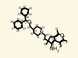 CC1=C(C)C2=C(N)C(C)(CCN3CCC(COC(c4ccccc4)c4ccccc4)CC3)CC2=C(C)O1